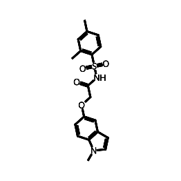 Cc1ccc(S(=O)(=O)NC(=O)COc2ccc3c(ccn3C)c2)c(C)c1